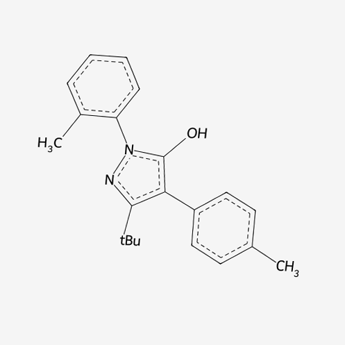 Cc1ccc(-c2c(C(C)(C)C)nn(-c3ccccc3C)c2O)cc1